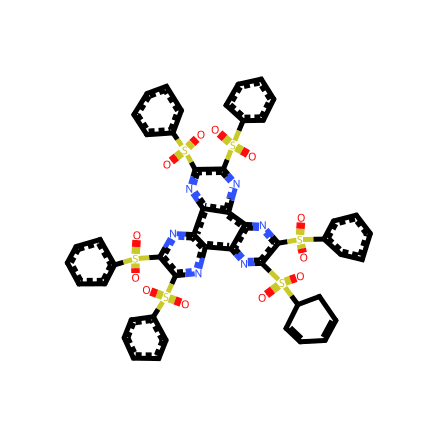 O=S(=O)(c1ccccc1)c1nc2c3nc(S(=O)(=O)c4ccccc4)c(S(=O)(=O)c4ccccc4)nc3c3nc(S(=O)(=O)C4C=CC=CC4)c(S(=O)(=O)c4ccccc4)nc3c2nc1S(=O)(=O)c1ccccc1